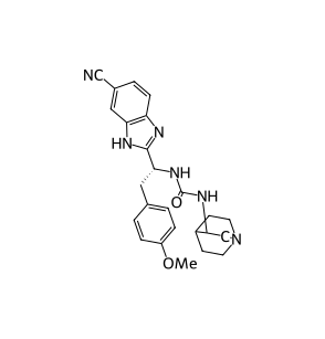 COc1ccc(C[C@@H](NC(=O)NC2CN3CCC2CC3)c2nc3ccc(C#N)cc3[nH]2)cc1